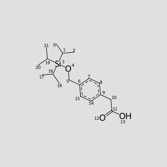 CC(C)[Si](OCc1ccc(CC(=O)O)cc1)(C(C)C)C(C)C